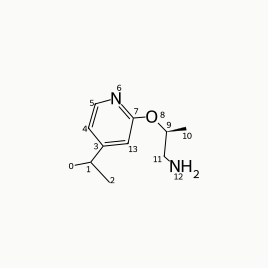 CC(C)c1ccnc(O[C@@H](C)CN)c1